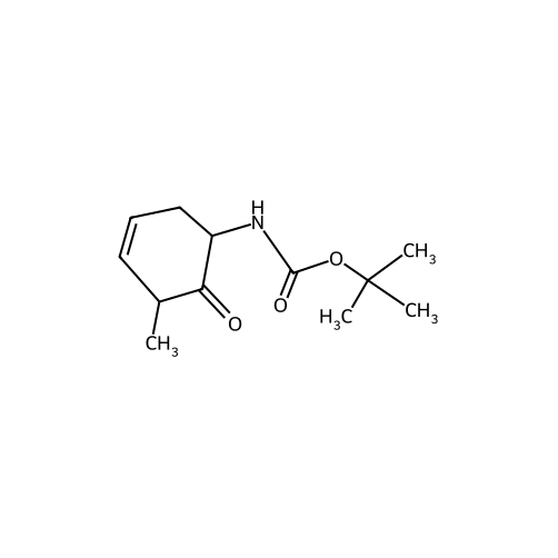 CC1C=CCC(NC(=O)OC(C)(C)C)C1=O